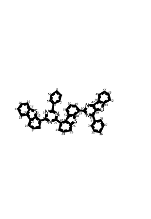 c1ccc(-c2nc(-c3cccc4c3sc3ccccc34)nc(-c3cccc4sc5c(-c6nc(-c7ccccc7)c7oc8ccccc8c7n6)cccc5c34)n2)cc1